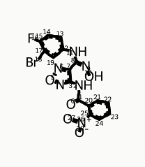 O=C(Nc1nonc1/C(=N\O)Nc1ccc(F)c(Br)c1)c1ccccc1[N+](=O)[O-]